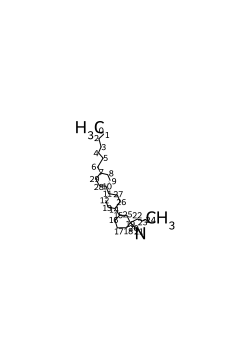 CCCCCCC[C@H]1CC[C@H]([C@H]2CC[C@H](C3CCCC(C#N)(CCC)C3)CC2)CC1